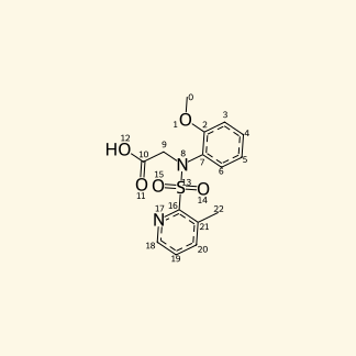 COc1ccccc1N(CC(=O)O)S(=O)(=O)c1ncccc1C